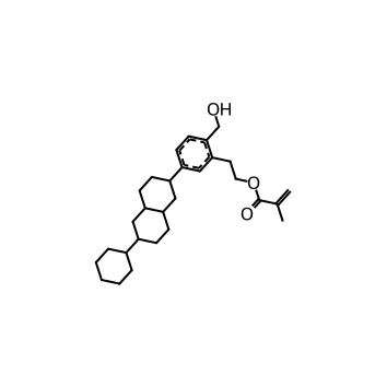 C=C(C)C(=O)OCCc1cc(C2CCC3CC(C4CCCCC4)CCC3C2)ccc1CO